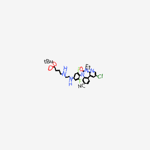 CCN1C(=O)N(c2c(F)cc(NCCNCCCC(=O)OC(C)(C)C)cc2F)c2cc(C#N)ccc2-c2cc(Cl)cnc21